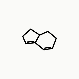 C1=CC2=CCCC2CC1